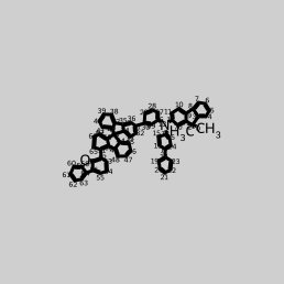 CC1(C)c2ccccc2-c2ccc(N(c3ccc(-c4ccccc4)cc3)c3cccc(-c4ccc5c(c4)-c4ccccc4C54c5ccccc5-c5c(-c6cccc7c6oc6ccccc67)cccc54)c3)cc21